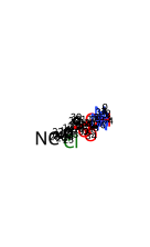 Cc1cc(C)n2nc(CC3=C(O)CC(CCc4ccc(CC(C)C#N)c(Cl)c4)(C4CCCC4)OC3=O)nc2n1